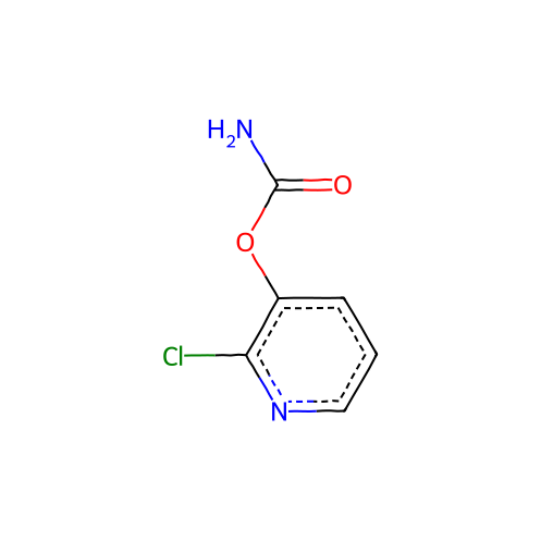 NC(=O)Oc1cccnc1Cl